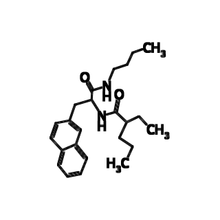 CCCCNC(=O)C(Cc1ccc2ccccc2c1)NC(=O)C(CC)CCC